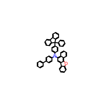 c1ccc(-c2ccc(N(c3ccc(C4(c5ccccc5)c5ccccc5-c5ccccc54)cc3)c3cc4c5ccccc5oc4c4ccccc34)cc2)cc1